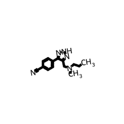 CCCN(C)Cc1n[nH]nc1-c1ccc(C#N)cc1